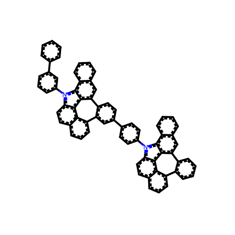 c1ccc(-c2cccc(-n3c4ccc5cccc6c5c4c4c(cc5ccccc5c43)-c3ccc(-c4ccc(-n5c7ccc8cccc9c8c7c7c(cc8ccccc8c75)-c5ccccc5-9)cc4)cc3-6)c2)cc1